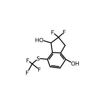 Oc1ccc(SC(F)(F)F)c2c1CC(F)(F)C2O